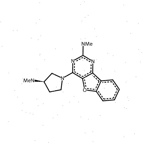 CNc1nc(N2CC[C@@H](NC)C2)c2oc3ccccc3c2n1